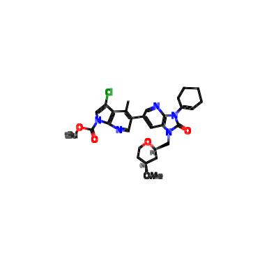 CO[C@H]1CCO[C@@H](Cn2c(=O)n(C3=CCCCC3)c3ncc(-c4cnc5c(c(Cl)cn5C(=O)OC(C)(C)C)c4C)cc32)C1